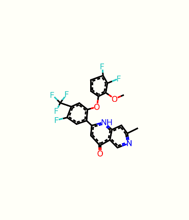 COc1c(Oc2cc(C(F)(F)F)c(F)cc2-c2cc(=O)c3cnc(C)cc3[nH]2)ccc(F)c1F